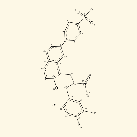 CS(=O)(=O)c1ccc(-c2ccc3ccc4c(c3c2)CC([N+](=O)[O-])C(c2cc(F)c(F)cc2F)O4)cc1